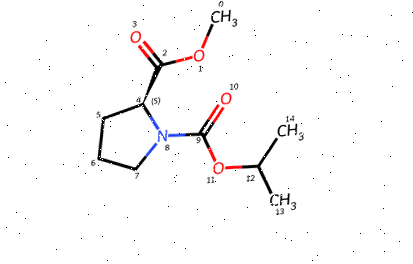 COC(=O)[C@@H]1CCCN1C(=O)OC(C)C